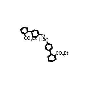 CCOC(=O)c1ccccc1-c1ccc(OBOc2ccc(-c3ccccc3C(=O)OCC)cc2)cc1